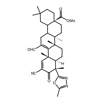 COC(=O)[C@]12CCC(C)(C)CC1C1CC(C=O)=C3[C@@]4(C)C=C(C#N)C(=O)[C@@](C)(c5nnc(C)o5)[C@@H]4CC[C@@]3(C)[C@]1(C)CC2